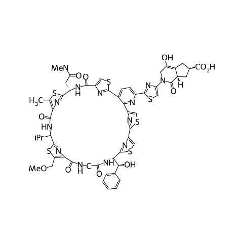 CNC(=O)C[C@@H]1NC(=O)c2csc(n2)-c2ccc(-c3nc(N4CC(O)=C5C[C@@H](C(=O)O)C[C@@H]5C4=O)cs3)nc2-c2csc(n2)-c2csc(n2)[C@H]([C@@H](O)c2ccccc2)NC(=O)CNC(=O)c2nc(sc2COC)C(C(C)C)NC(=O)c2nc1sc2C